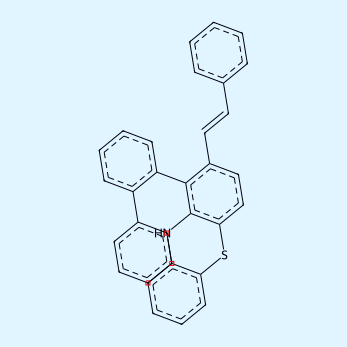 C(=Cc1ccc2c(c1-c1ccccc1-c1ccccc1)Nc1ccccc1S2)c1ccccc1